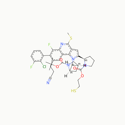 CSc1nc2c(F)c(-c3cccc(F)c3Cl)c(CCC#N)cc2c2c1cc([C@H]1CCCN1C(=O)OCCS)n2[C@H]1[C@@H]2C[C@H]1N(C(=O)OC(C)(C)C)C2